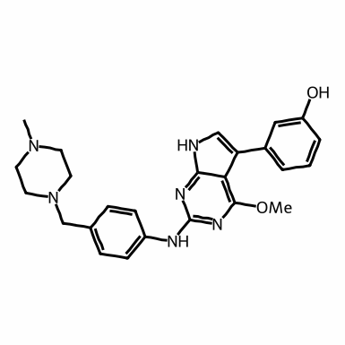 COc1nc(Nc2ccc(CN3CCN(C)CC3)cc2)nc2[nH]cc(-c3cccc(O)c3)c12